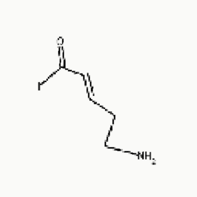 NCC/C=C/C(=O)I